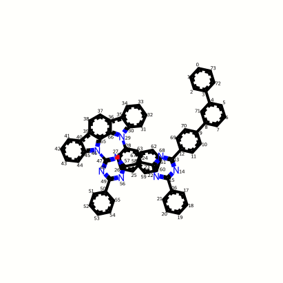 c1ccc(-c2cccc(-c3ccc(-c4nc(-c5ccccc5)nc(-c5cccc(-n6c7ccccc7c7ccc8c9ccccc9n(-c9nc(-c%10ccccc%10)nc(-c%10ccccc%10)n9)c8c76)c5)n4)cc3)c2)cc1